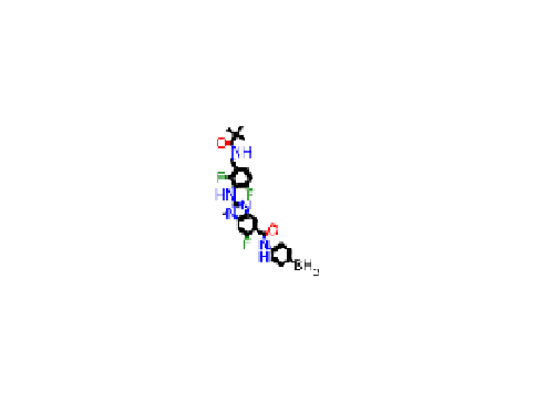 Bc1ccc(NC(=O)c2cc3nc(Nc4c(F)ccc(CNC(=O)C(C)(C)C)c4F)n(C)c3cc2F)cc1